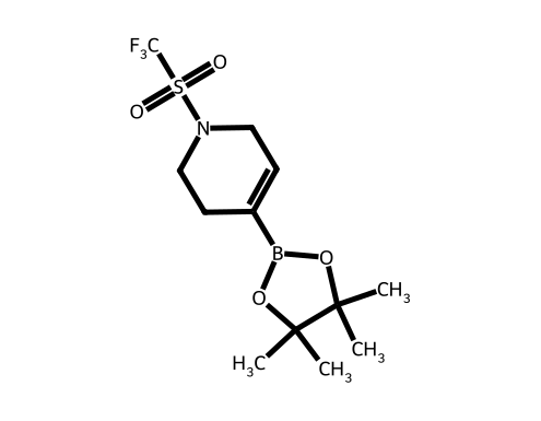 CC1(C)OB(C2=CCN(S(=O)(=O)C(F)(F)F)CC2)OC1(C)C